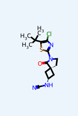 CC(C)(C)c1sc(N2CC[C@]3(C[C@@H](NC#N)C3)C2=O)nc1Cl